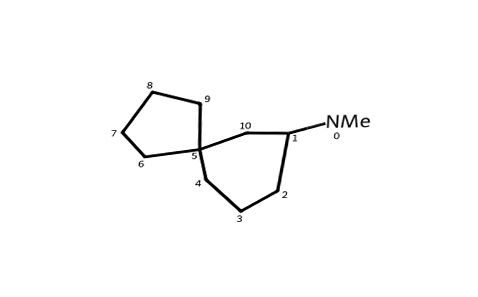 CNC1CCCC2(CCCC2)C1